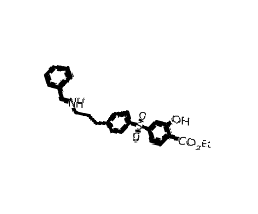 CCOC(=O)c1ccc(S(=O)(=O)c2ccc(CCCNCc3ccccc3)cc2)cc1O